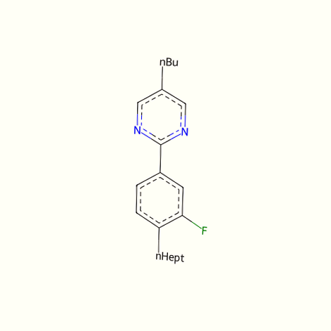 CCCCCCCc1ccc(-c2ncc(CCCC)cn2)cc1F